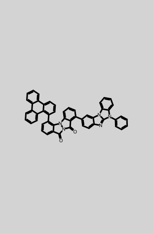 O=c1c2cccc(-c3cccc4c5ccccc5c5ccccc5c34)c2n2c3cccc(-c4ccc5nc6n(-c7ccccc7)c7ccccc7n6c5c4)c3c(=O)n12